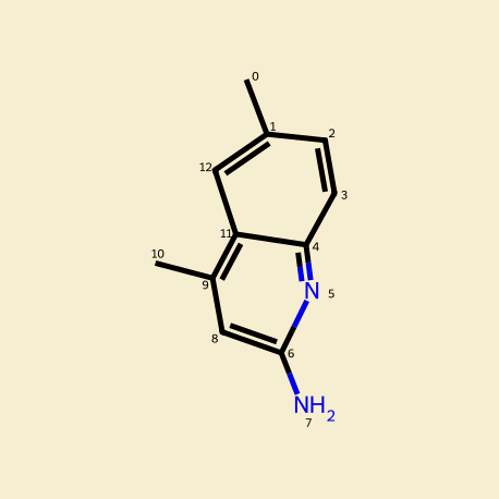 Cc1ccc2nc(N)cc(C)c2c1